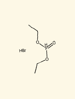 Br.CCO[PH](=O)OCC